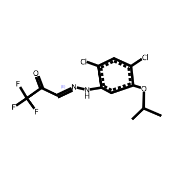 CC(C)Oc1cc(N/N=C/C(=O)C(F)(F)F)c(Cl)cc1Cl